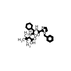 CC(C)(C)[C@H](NC(=O)[C@@H](NC(=O)c1nccn1Cc1ccccc1)C1CCCCC1)C(=O)O